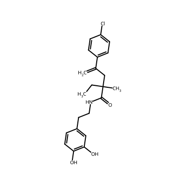 C=C(CC(C)(CC)C(=O)NCCc1ccc(O)c(O)c1)c1ccc(Cl)cc1